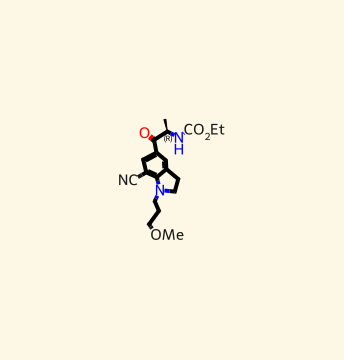 CCOC(=O)N[C@H](C)C(=O)c1cc(C#N)c2c(c1)CCN2CCCOC